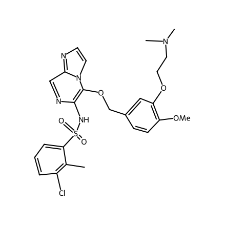 COc1ccc(COc2c(NS(=O)(=O)c3cccc(Cl)c3C)ncc3nccn23)cc1OCCN(C)C